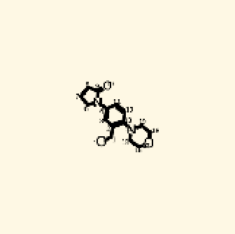 [O]Cc1cc(N2CCCC2=O)ccc1N1CCOCC1